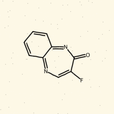 O=c1nc2ccccc2ncc1F